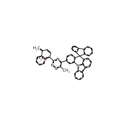 C=C(/C=C\C(=C/C)c1nnc(C)c(-c2ccc3c(c2)-n2c4ccccc4c4cccc(c42)C32c3ccccc3-c3ccccc32)n1)c1ccccn1